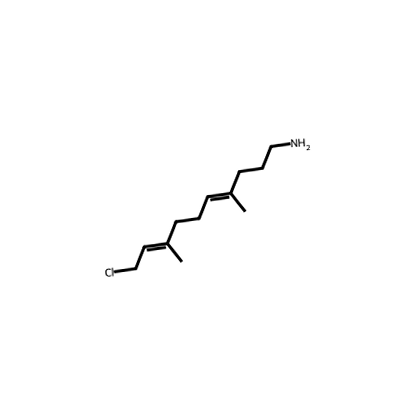 C/C(=C\CCl)CC/C=C(\C)CCCN